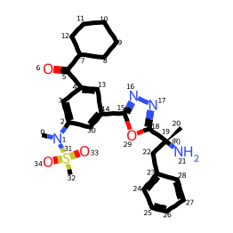 CN(c1cc(C(=O)C2CCCCC2)cc(-c2nnc([C@](C)(N)Cc3ccccc3)o2)c1)S(C)(=O)=O